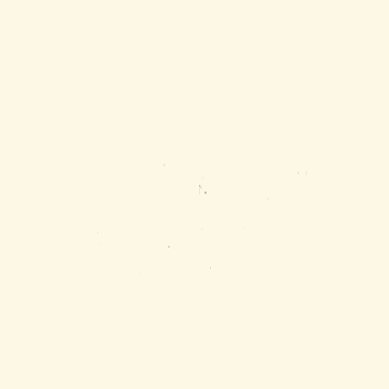 CC1(C)C(O)CC(O)N(CCO)C1(C)C